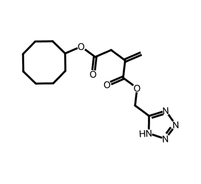 C=C(CC(=O)OC1CCCCCCC1)C(=O)OCc1nnn[nH]1